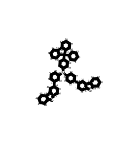 c1ccc(C2(c3ccc(N(c4ccc(-c5ccc6sc7ccccc7c6c5)cc4)c4cccc(-c5ccc6sc7ccccc7c6c5)c4)cc3)c3ccccc3-c3ccccc32)cc1